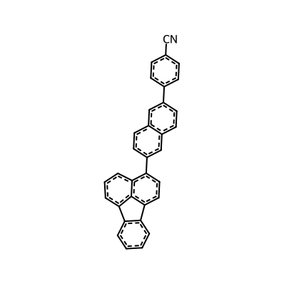 N#Cc1ccc(-c2ccc3cc(-c4ccc5c6c(cccc46)-c4ccccc4-5)ccc3c2)cc1